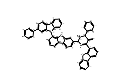 C=C1C(c2cccc3c2oc2ccccc23)=NC(c2ccc3c(c2)oc2c(-n4c5ccccc5c5ccc(-c6ccccc6)cc54)cccc23)NC1c1ccccc1